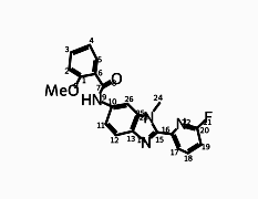 COc1ccccc1C(=O)Nc1ccc2nc(-c3cccc(F)n3)n(C)c2c1